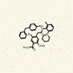 COC(=O)c1cc(Br)c(CC(=O)N(Nc2ccc(Cc3ccccc3)cc2)c2c(C)cccc2N2CCCCC2)cc1OC